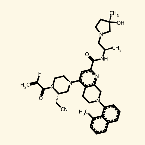 C=C(F)C(=O)N1CCN(c2cc(C(=O)N[C@H](C)CN3CC[C@](C)(O)C3)nc3c2CCN(c2cccc4cccc(C)c24)C3)C[C@@H]1CC#N